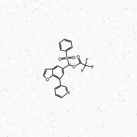 O=C(ON(c1cc(-c2cccnc2)c2occc2c1)S(=O)(=O)c1ccccc1)C(F)(F)F